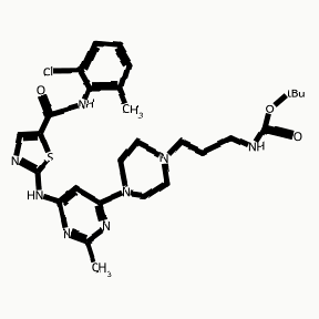 Cc1nc(Nc2ncc(C(=O)Nc3c(C)cccc3Cl)s2)cc(N2CCN(CCCNC(=O)OC(C)(C)C)CC2)n1